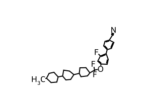 CC1CCC(C2CCC(C3CCC(C(F)(F)Oc4ccc(-c5ccc(C#N)cc5)c(F)c4)CC3)CC2)CC1